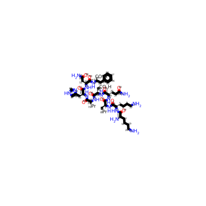 CC(C)C[C@H](NC(=O)[C@H](CCCCN)NC(=O)[C@@H](N)CCCCN)C(=O)N[C@@H](CCC(N)=O)C(=O)N[C@@H](CC(=O)O)C(=O)N[C@H](C(=O)N[C@@H](Cc1c[nH]cn1)C(=O)N[C@@H](CC(N)=O)C(=O)N[C@@H](Cc1ccccc1)C(=O)O)C(C)C